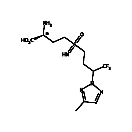 Cc1cnn(C(CCS(=N)(=O)CC[C@H](N)C(=O)O)C(F)(F)F)n1